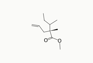 C=CC[C@@](C)(C(=O)OC)C(C)CC